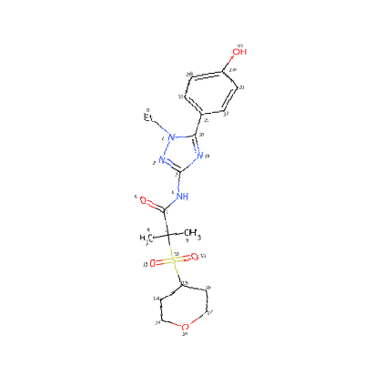 CCn1nc(NC(=O)C(C)(C)S(=O)(=O)C2CCOCC2)nc1-c1ccc(O)cc1